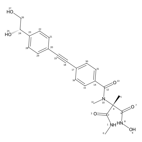 CNC(=O)[C@@](C)(C(=O)NO)N(C)C(=O)c1ccc(C#Cc2ccc([C@H](O)CO)cc2)cc1